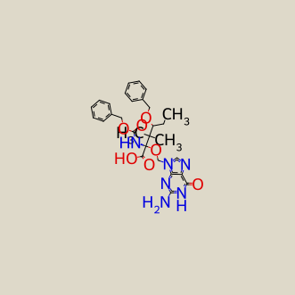 CCC(OCc1ccccc1)C(C)(C)[C@](NC(=O)OCc1ccccc1)(OCn1cnc2c(=O)[nH]c(N)nc21)C(=O)O